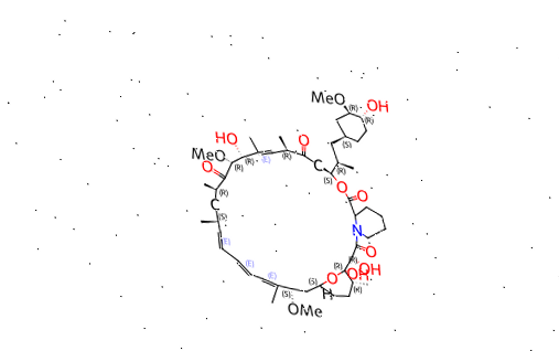 CO[C@H]1C[C@@H]2CC[C@@H](C)[C@@](O)(O2)[C@@H](O)C(=O)N2CCCCC2C(=O)O[C@H]([C@H](C)C[C@@H]2CC[C@@H](O)[C@H](OC)C2)CC(=O)[C@H](C)/C=C(\C)[C@@H](O)[C@@H](OC)C(=O)[C@H](C)C[C@H](C)/C=C/C=C/C=C/1C